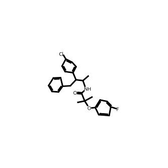 CC(NC(=O)C(C)(C)Oc1ccc(F)cc1)C(Cc1ccccc1)c1ccc(Cl)cc1